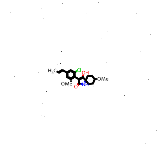 C/C=C/c1cc(Cl)c(C2=C(O)C3(CCC(OC)CC3)NC2=O)c(OC)c1